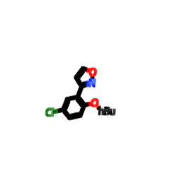 CCCCOc1ccc(Cl)cc1-c1ccon1